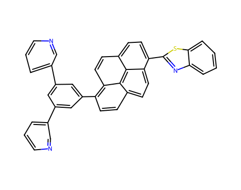 c1cncc(-c2cc(-c3cccnc3)cc(-c3ccc4ccc5c(-c6nc7ccccc7s6)ccc6ccc3c4c65)c2)c1